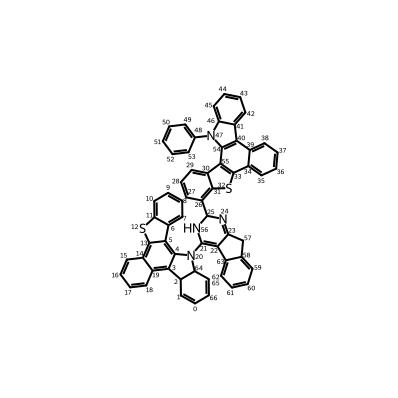 C1=CC2c3c(c4c5ccccc5sc4c4ccccc34)N(C3=C4C(=NC(c5cccc6c5sc5c7ccccc7c7c8ccccc8n(-c8ccccc8)c7c65)N3)Cc3ccccc34)C2C=C1